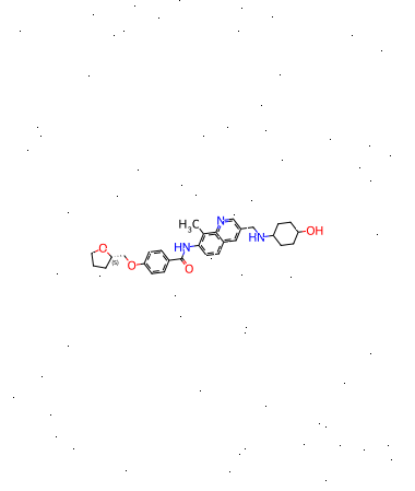 Cc1c(NC(=O)c2ccc(OC[C@@H]3CCCO3)cc2)ccc2cc(CNC3CCC(O)CC3)cnc12